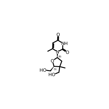 Cc1cc(=O)[nH]c(=O)n1[C@H]1CC(C)(CO)[C@@H](CO)O1